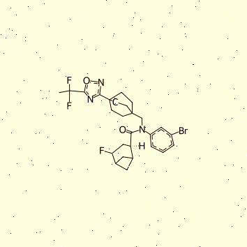 CC(F)(F)c1nc(C23CCC(CN(C(=O)[C@@H]4CC(F)C5CC4C5)c4cccc(Br)c4)(CC2)CC3)no1